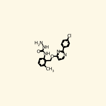 Cc1cccc(NC(=O)NN)c1COc1ccnc(-c2ccc(Cl)cc2)n1